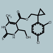 CC1=C(C(=O)OCC2(c3ccc(Cl)cc3Cl)CC2)C(CO)NC(=S)N1